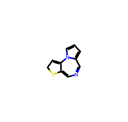 C1=NC=C2SCC=C2n2cccc21